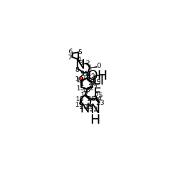 C[C@@H]1CN(C2CCC2)C[C@H](C)C1(O)c1ccc(-c2ccnc3[nH]cc(F)c23)cc1Cl